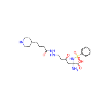 NC(CC(=O)CCNNC(=O)CCCC1CCNCC1)(NS(=O)(=O)c1ccccc1)C(=O)O